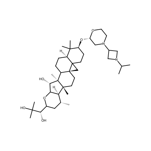 CC(C)N1CC(N2CCO[C@@H](O[C@H]3CCC45C[C@]46CC[C@]4(C)[C@@H]7C(OC([C@H](O)C(C)(C)O)C[C@H]7C)[C@H](O)[C@@]4(C)C6CC[C@H]5C3(C)C)C2)C1